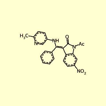 CC(=O)N1C(=O)/C(=C(\Nc2ccc(C)nc2)c2ccccc2)c2ccc([N+](=O)[O-])cc21